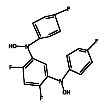 ON(c1ccc(F)cc1)c1cc(N(O)c2ccc(F)cc2)c(F)cc1F